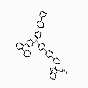 Cc1c(-c2cccc(-c3ccc(-c4ccc(N(c5ccc(-c6ccc(-c7ccccc7)cc6)cc5)c5ccc(-c6ccccc6-c6ccccc6)cc5)cc4)cc3)c2)oc2ccccc12